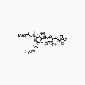 CSCCNc1nc(SCCC(F)(F)F)nc2c1ncn2C1OC(COP(=O)(Cl)Cl)C(O)C1O